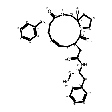 O=C(C[C@H]1C/C=C\C[C@H](Cc2ccccc2)C(=O)OC[C@@H]2CCCN2C1=O)N[C@@H](CO)Cc1ccccc1